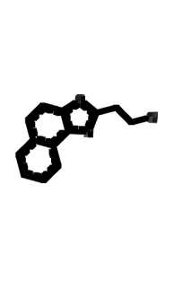 ClCCc1nc2c(ccc3ccccc32)o1